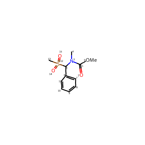 COC(=O)N(C)C(c1ccccc1)S(C)(=O)=O